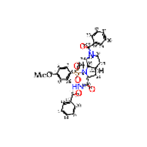 COc1ccc(S(=O)(=O)N2[C@H](C(=O)NOCc3ccccc3)C[C@@H]3CCN(C(=O)c4ccccc4)C[C@@H]32)cc1